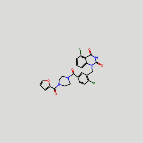 O=C(c1ccc(F)c(Cn2c(=O)[nH]c(=O)c3c(F)cccc32)c1)N1CCN(C(=O)c2ccco2)CC1